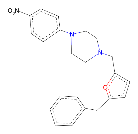 O=[N+]([O-])c1ccc(N2CCN(Cc3ccc(Cc4ccccc4)o3)CC2)cc1